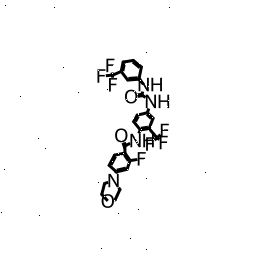 O=C(Nc1cccc(C(F)(F)F)c1)Nc1ccc(NC(=O)c2ccc(N3CCOCC3)cc2F)c(C(F)(F)F)c1